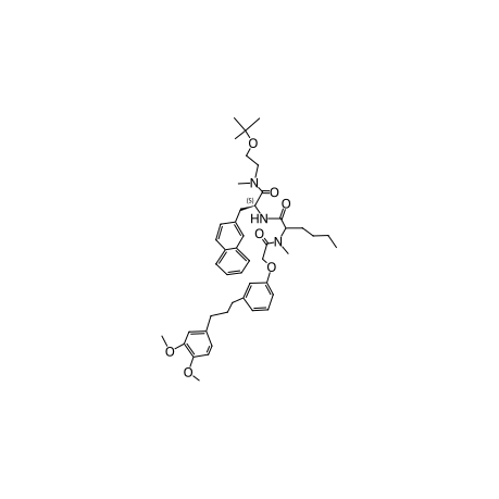 CCCCC(C(=O)N[C@@H](Cc1ccc2ccccc2c1)C(=O)N(C)CCOC(C)(C)C)N(C)C(=O)COc1cccc(CCCc2ccc(OC)c(OC)c2)c1